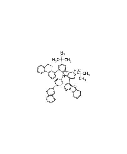 CC(C)(C)c1cc(-c2cccc3c2CCc2ccccc2-3)c2c(c1)c1cc(C(C)(C)C)cc(-c3cccc4c3oc3ccccc34)c1n2-c1ccc(-c2ccc3ccccc3c2)cc1